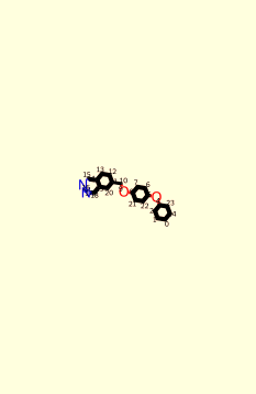 c1ccc(Oc2ccc(OCc3ccc4cnncc4c3)cc2)cc1